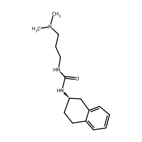 CN(C)CCCNC(=O)N[C@@H]1CCc2ccccc2C1